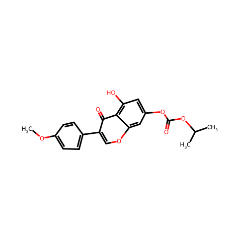 COc1ccc(-c2coc3cc(OC(=O)OC(C)C)cc(O)c3c2=O)cc1